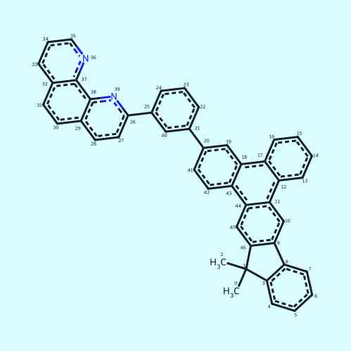 CC1(C)c2ccccc2-c2cc3c4ccccc4c4cc(-c5cccc(-c6ccc7ccc8cccnc8c7n6)c5)ccc4c3cc21